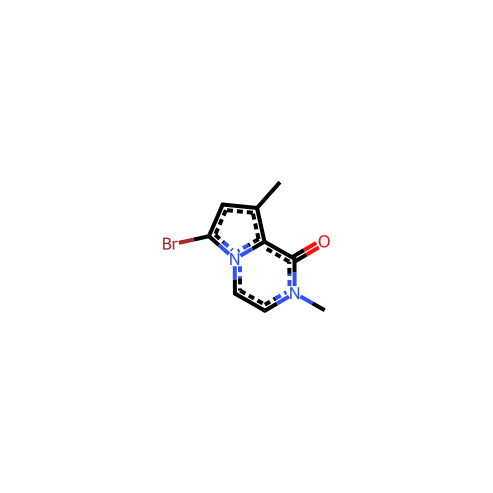 Cc1cc(Br)n2ccn(C)c(=O)c12